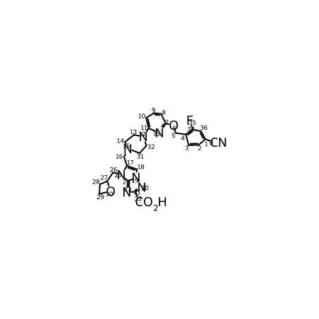 N#Cc1ccc(COc2cccc(N3CCN(Cc4cn5nc(C(=O)O)nc5n4CC4CCO4)CC3)n2)c(F)c1